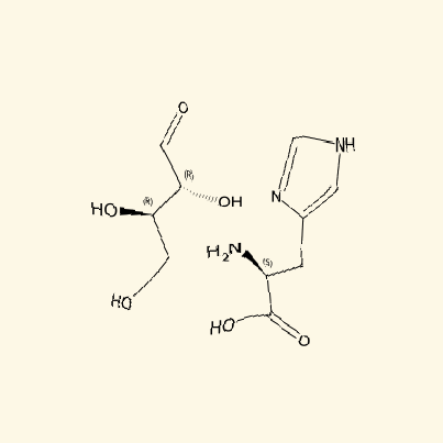 N[C@@H](Cc1c[nH]cn1)C(=O)O.O=C[C@H](O)[C@H](O)CO